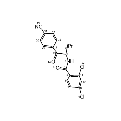 CC(C)C(NC(=O)c1ccc(Cl)cc1Cl)C(=O)c1ccc(C#N)cc1